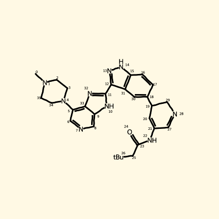 CN1CCN(c2cncc3[nH]c(-c4n[nH]c5ccc(C6C=C(NC(=O)CC(C)(C)C)C=NC6)cc45)nc23)CC1